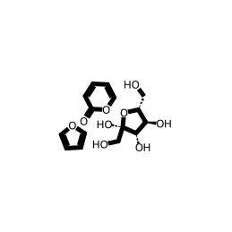 O=c1cccco1.OC[C@H]1O[C@](O)(CO)[C@@H](O)[C@@H]1O.c1ccoc1